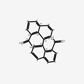 O=C(Cl)c1cccc2cccc(-c3cccc4cccc(C(=O)Cl)c34)c12